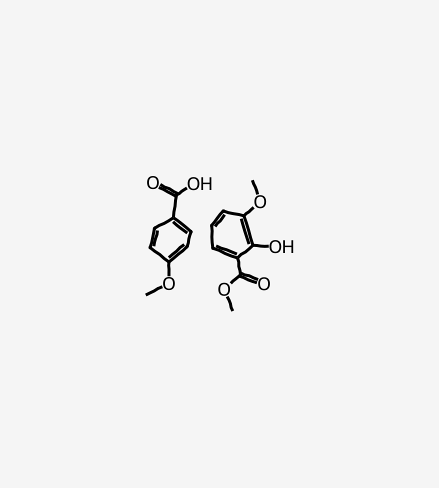 COC(=O)c1cccc(OC)c1O.COc1ccc(C(=O)O)cc1